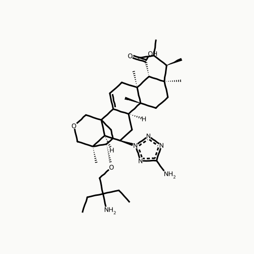 CCC(N)(CC)CO[C@H]1[C@H](n2nnc(N)n2)CC23COC[C@@]1(C)[C@@H]2CC[C@H]1C3=CC[C@@]2(C)[C@H](C(=O)O)[C@@](C)([C@H](C)C(C)C)CC[C@]12C